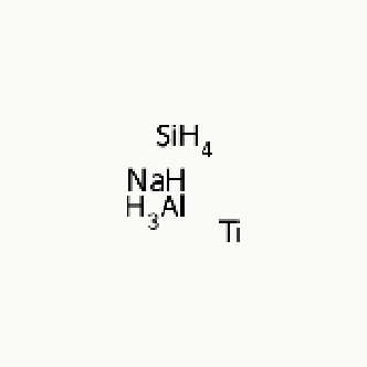 [AlH3].[NaH].[SiH4].[Ti]